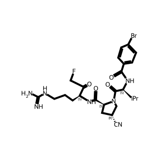 CC(C)[C@H](NC(=O)c1ccc(Br)cc1)C(=O)N1C[C@H](C#N)C[C@H]1C(=O)N[C@@H](CCCNC(=N)N)C(=O)CF